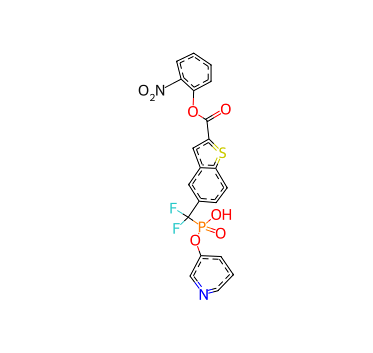 O=C(Oc1ccccc1[N+](=O)[O-])c1cc2cc(C(F)(F)P(=O)(O)Oc3cccnc3)ccc2s1